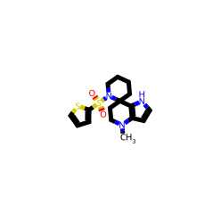 CN1CCC2(CCCCN2S(=O)(=O)c2cccs2)c2[nH]ccc21